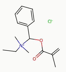 C=C(C)C(=O)OC(c1ccccc1)[N+](C)(C)CC.[Cl-]